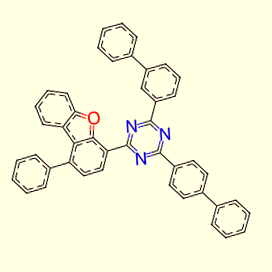 c1ccc(-c2ccc(-c3nc(-c4cccc(-c5ccccc5)c4)nc(-c4ccc(-c5ccccc5)c5c4oc4ccccc45)n3)cc2)cc1